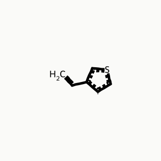 C=Cc1[c]csc1